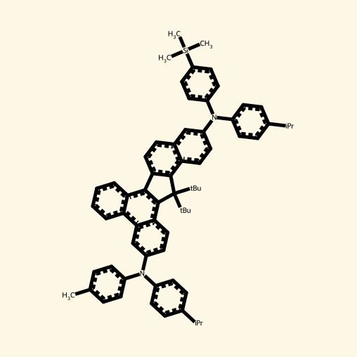 Cc1ccc(N(c2ccc(C(C)C)cc2)c2ccc3c4c(c5ccccc5c3c2)-c2ccc3cc(N(c5ccc(C(C)C)cc5)c5ccc([Si](C)(C)C)cc5)ccc3c2C4(C(C)(C)C)C(C)(C)C)cc1